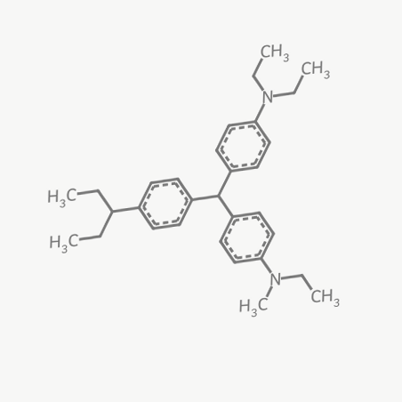 CCC(CC)c1ccc(C(c2ccc(N(C)CC)cc2)c2ccc(N(CC)CC)cc2)cc1